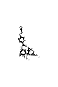 C#CCOc1cnc(C(=O)Nc2cc(F)c(F)c([C@@]3(C)N=C(N)SC4C[C@H]43)c2)cn1